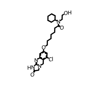 O=C1CN2Cc3c(Cl)cc(OCCCCCCC(=O)N(CCO)C4CCCCC4)cc3N=C2N1